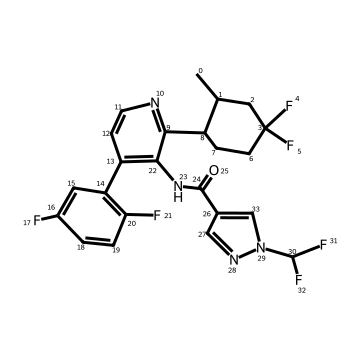 CC1CC(F)(F)CCC1c1nccc(-c2cc(F)ccc2F)c1NC(=O)c1cnn(C(F)F)c1